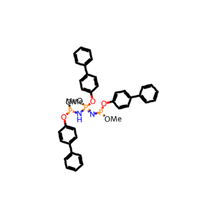 COP(N=P(NP(OC)Oc1ccc(-c2ccccc2)cc1)(OC)Oc1ccc(-c2ccccc2)cc1)Oc1ccc(-c2ccccc2)cc1